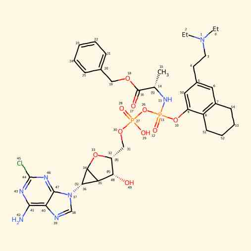 CCN(CC)CCc1cc2c(c(OP(=O)(N[C@@H](C)C(=O)OCc3ccccc3)OP(=O)(O)OC[C@H]3OC4C([C@@H]4n4cnc5c(N)nc(Cl)nc54)[C@H]3O)c1)CCCC2